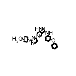 CN1CCN(c2nccc(N3Cc4[nH]nc(Nc5cccc(Oc6ccccc6)c5)c4C3)n2)CC1